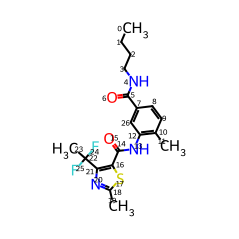 CCCCNC(=O)c1ccc(C)c(NC(=O)c2sc(C)nc2C(C)(F)F)c1